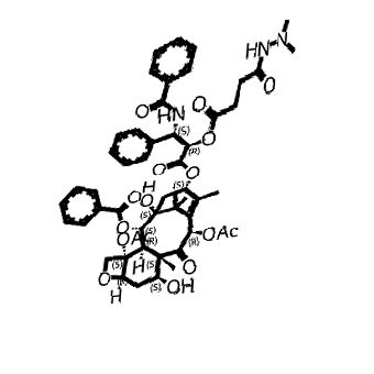 CC(=O)O[C@H]1C(=O)[C@@]2(C)[C@H]([C@H](OC(=O)c3ccccc3)[C@]3(O)C[C@H](OC(=O)[C@H](OC(=O)CCC(=O)NN(C)C)[C@@H](NC(=O)c4ccccc4)c4ccccc4)C(C)=C1C3(C)C)[C@]1(OC(C)=O)CO[C@@H]1C[C@@H]2O